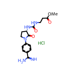 COC(=O)CCNC(=O)N[C@H]1CCN(c2ccc(C(=N)N)cc2)C1=O.Cl